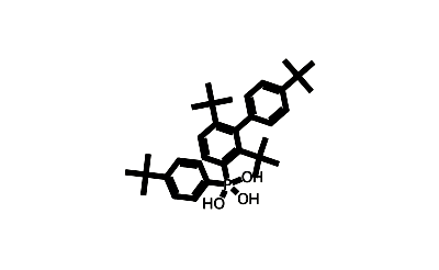 CC(C)(C)c1ccc(-c2c(C(C)(C)C)ccc(P(O)(O)(O)c3ccc(C(C)(C)C)cc3)c2C(C)(C)C)cc1